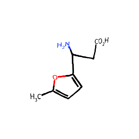 Cc1ccc(C(N)CC(=O)O)o1